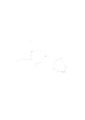 CCOc1nc(Nc2ccc(OC)cc2)cc(N)c1C#N